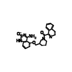 NC1=N[S+]([O-])Nc2cccc(OCC3CCCN(C(=O)c4nccc5ccccc45)C3)c21